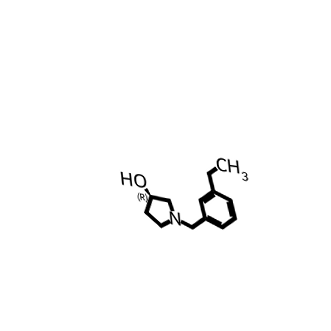 CCc1cccc(CN2CC[C@@H](O)C2)c1